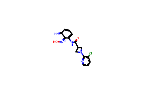 N=C1C=CC=C(NC(=O)C2CN(c3ncccc3Cl)C2)/C1=N/O